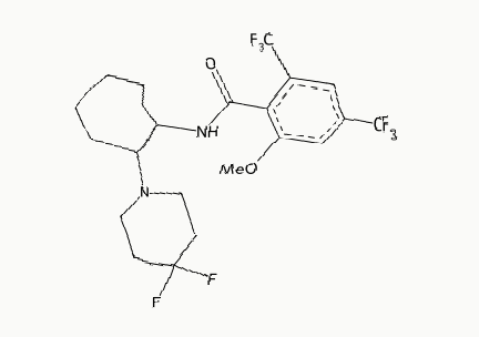 COc1cc(C(F)(F)F)cc(C(F)(F)F)c1C(=O)NC1CCCCC1N1CCC(F)(F)CC1